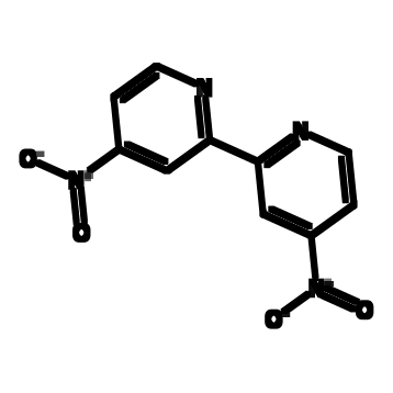 O=[N+]([O-])c1ccnc(-c2cc([N+](=O)[O-])ccn2)c1